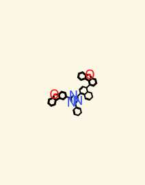 C1=CC(c2nc(C3=C4C=CCCC4C(c4cccc5oc6ccccc6c45)C=C3)nc(-c3ccc4oc5ccccc5c4c3)n2)=CCC1